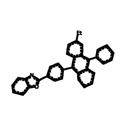 CCc1ccc2c(-c3ccc(-c4nc5ccccc5o4)cc3)c3ccccc3c(-c3ccccc3)c2c1